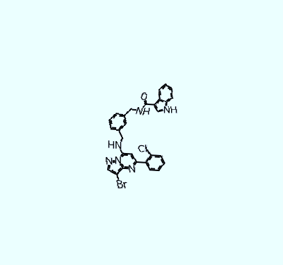 O=C(NCc1cccc(CNc2cc(-c3ccccc3Cl)nc3c(Br)cnn23)c1)c1c[nH]c2ccccc12